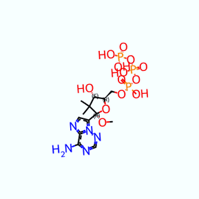 CO[C@@]1(c2cnc3c(N)ncnn23)O[C@H](COP(=O)(O)OP(=O)(O)OP(=O)(O)O)[C@@H](O)C1(C)C